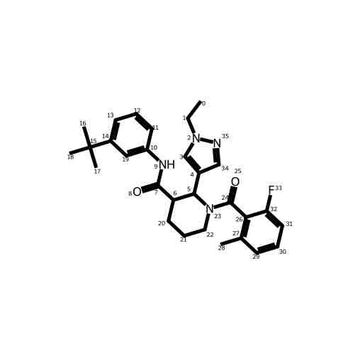 CCn1cc(C2C(C(=O)Nc3cccc(C(C)(C)C)c3)CCCN2C(=O)c2c(C)cccc2F)cn1